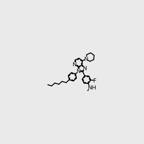 CCCCCCc1ccc(-n2c(-c3ccc(NC)c(F)c3)nc3c(N4CCCCC4)ccnc32)cc1